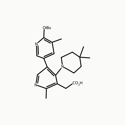 Cc1cc(-c2cnc(C)c(CC(=O)O)c2N2CCC(C)(C)CC2)cnc1OCC(C)C